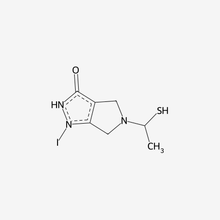 CC(S)N1Cc2c(n(I)[nH]c2=O)C1